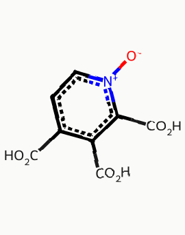 O=C(O)c1cc[n+]([O-])c(C(=O)O)c1C(=O)O